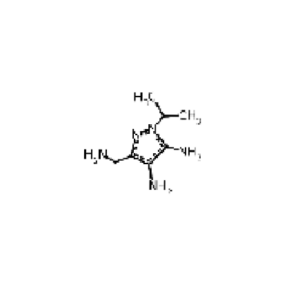 CC(C)n1nc(CN)c(N)c1N